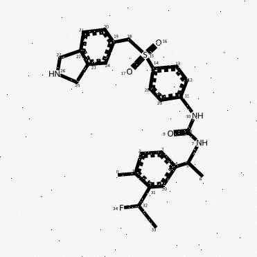 Cc1ccc(C(C)NC(=O)Nc2ccc(S(=O)(=O)Cc3ccc4c(c3)CNC4)cc2)cc1C(C)F